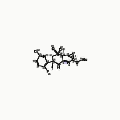 CC(C)(C)OC(=O)/N=C1/N[C@](C)(c2nc(Cl)ncc2F)CS(=O)(=O)[C@@]1(C)C1CC1